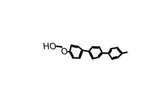 Cc1ccc(-c2ccc(-c3ccc(OCO)cc3)cc2)cc1